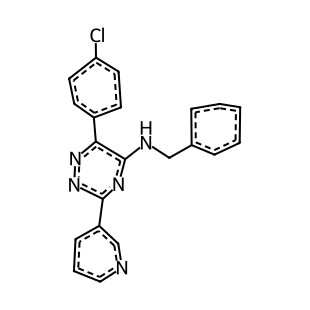 Clc1ccc(-c2nnc(-c3cccnc3)nc2NCc2ccccc2)cc1